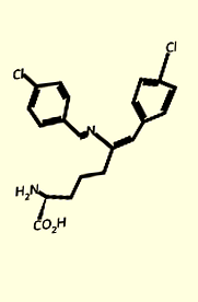 N[C@@H](CCCC(=Cc1ccc(Cl)cc1)N=Cc1ccc(Cl)cc1)C(=O)O